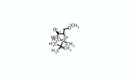 COCC(O[Si](C)(C)C(C)(C)C)C(=O)O